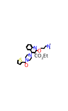 CCOC(=O)c1c(OCCCN(C)C)nc2ccccc2c1N1CCN(C(=O)c2cccs2)CC1